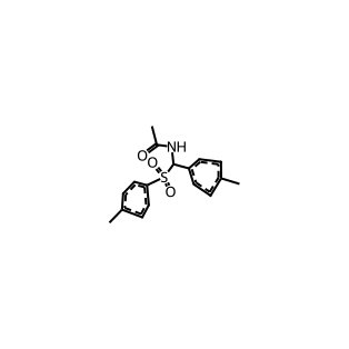 CC(=O)NC(c1ccc(C)cc1)S(=O)(=O)c1ccc(C)cc1